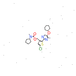 Cc1nc(-c2sc(Cl)cc2COC(=O)N(C)C2CCCC2)ncc1OC1CCCCC1